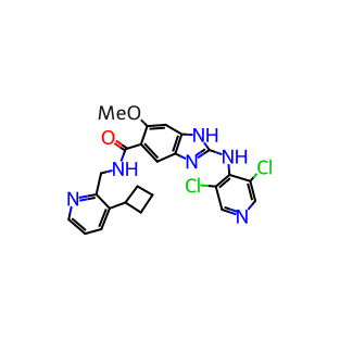 COc1cc2[nH]c(Nc3c(Cl)cncc3Cl)nc2cc1C(=O)NCc1ncccc1C1CCC1